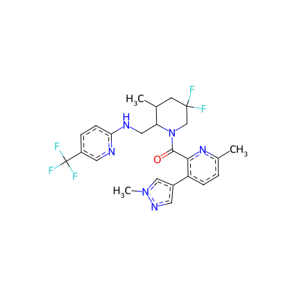 Cc1ccc(-c2cnn(C)c2)c(C(=O)N2CC(F)(F)CC(C)C2CNc2ccc(C(F)(F)F)cn2)n1